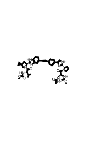 COC(=O)N[C@@H](CNC(C)=O)C(=O)N1CCC[C@H]1c1nc(-c2ccc(C#Cc3ccc4[nH]c([C@@H]5CC6(CC6)CN5C(=O)[C@@H](NC(=O)OC)C(C)C)nc4c3)cc2)c[nH]1